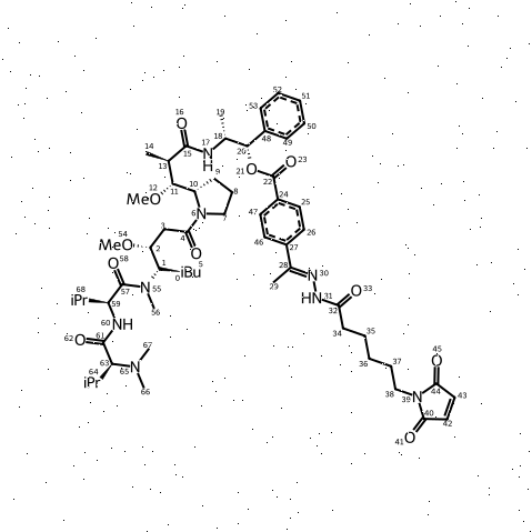 CC[C@H](C)[C@@H]([C@@H](CC(=O)N1CCC[C@H]1[C@H](OC)[C@@H](C)C(=O)N[C@H](C)[C@@H](OC(=O)c1ccc(/C(C)=N/NC(=O)CCCCCN2C(=O)C=CC2=O)cc1)c1ccccc1)OC)N(C)C(=O)[C@@H](NC(=O)[C@H](C(C)C)N(C)C)C(C)C